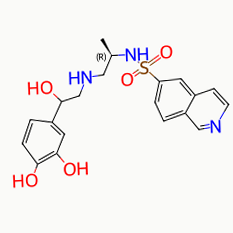 C[C@H](CNCC(O)c1ccc(O)c(O)c1)NS(=O)(=O)c1ccc2cnccc2c1